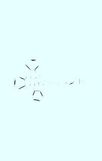 C=CCOCCCO[Si](Oc1ccccc1)(Oc1ccccc1)Oc1ccccc1